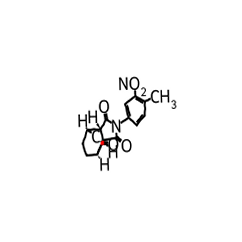 Cc1ccc(N2C(=O)[C@H]3[C@@H]4CC[C@@H](C(=O)C4)[C@H]3C2=O)cc1[N+](=O)[O-]